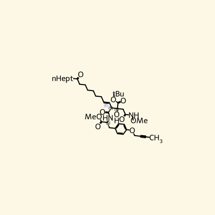 CC#CCOc1ccc(C[C@H](NC(=O)[C@@H](/C=C/CCCCCCC(=O)CCCCCCC)[C@@](O)(CC(=O)NOC)C(=O)OC(C)(C)C)C(=O)OC)cc1